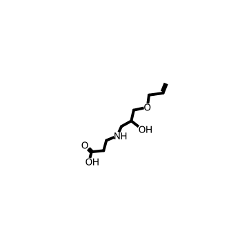 C=CCOCC(O)CNCCC(=O)O